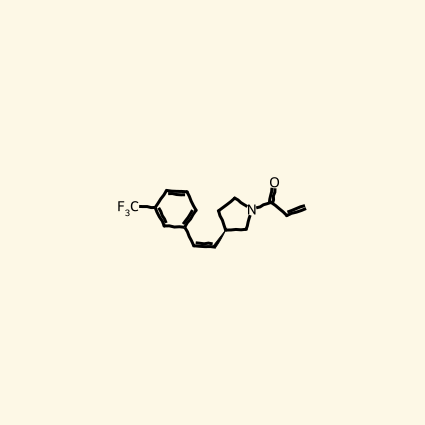 C=CC(=O)N1CC[C@H](/C=C\c2cccc(C(F)(F)F)c2)C1